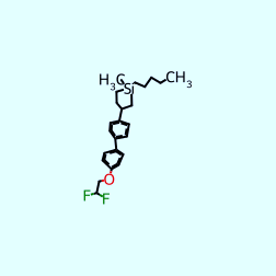 CCCCC[Si]1(C)CCC(c2ccc(-c3ccc(OCC(F)F)cc3)cc2)CC1